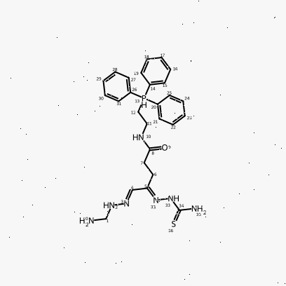 NCN/N=C/C(CCC(=O)NCC[PH](c1ccccc1)(c1ccccc1)c1ccccc1)=N/NC(N)=S